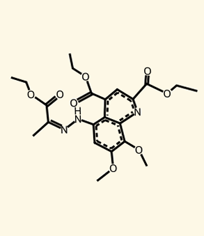 CCOC(=O)/C(C)=N\Nc1cc(OC)c(OC)c2nc(C(=O)OCC)cc(C(=O)OCC)c12